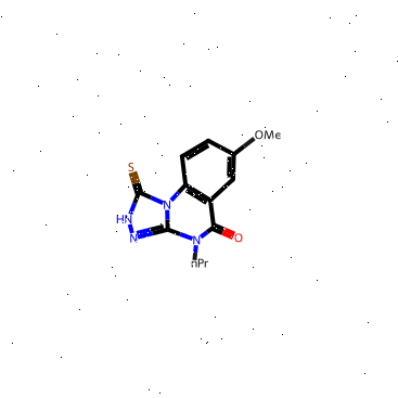 CCCn1c(=O)c2cc(OC)ccc2n2c(=S)[nH]nc12